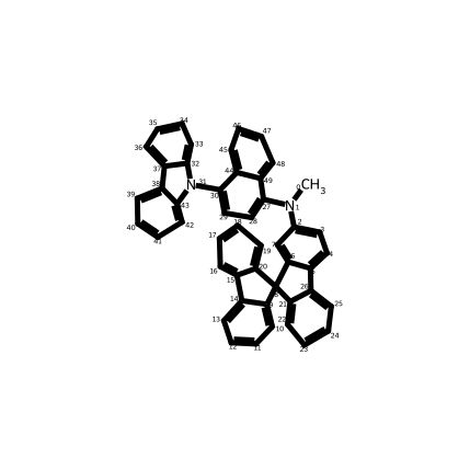 CN(c1ccc2c(c1)C1(c3ccccc3-c3ccccc31)c1ccccc1-2)c1ccc(-n2c3ccccc3c3ccccc32)c2ccccc12